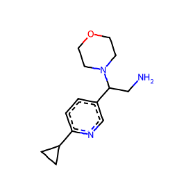 NCC(c1ccc(C2CC2)nc1)N1CCOCC1